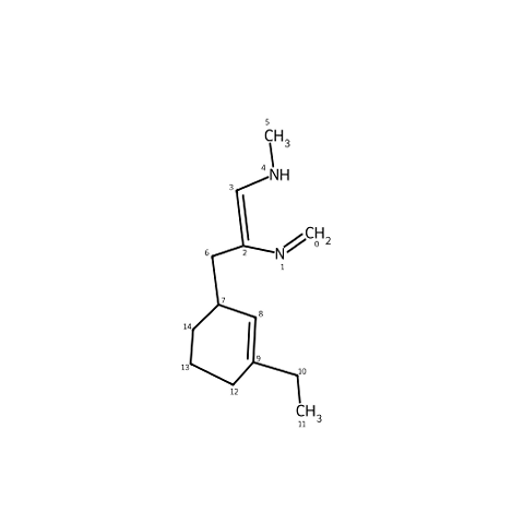 C=N/C(=C\NC)CC1C=C(CC)CCC1